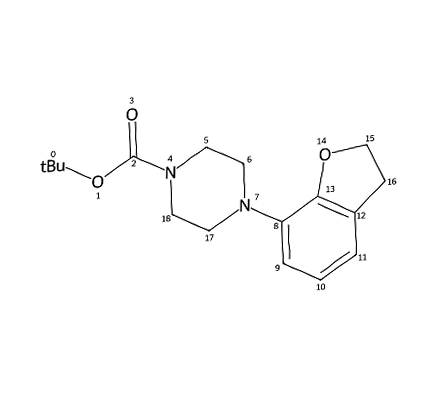 CC(C)(C)OC(=O)N1CCN(c2cccc3c2OCC3)CC1